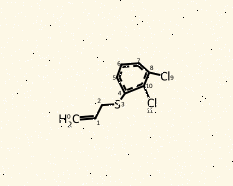 C=CCSc1cccc(Cl)c1Cl